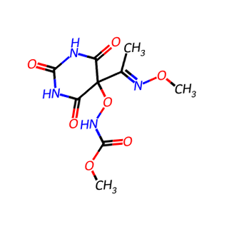 CO/N=C(\C)C1(ONC(=O)OC)C(=O)NC(=O)NC1=O